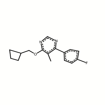 Cc1c(OCC2CCC2)ncnc1-c1ccc(F)cc1